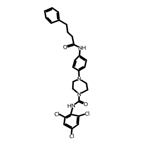 O=C(CCCc1ccccc1)Nc1ccc(N2CCN(C(=O)Nc3c(Cl)cc(Cl)cc3Cl)CC2)cc1